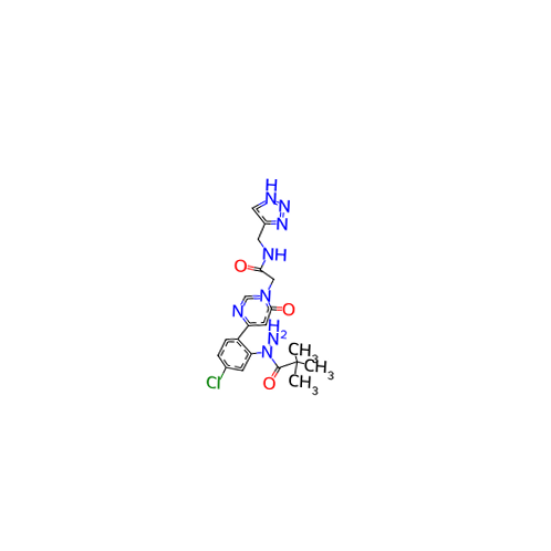 CC(C)(C)C(=O)N(N)c1cc(Cl)ccc1-c1cc(=O)n(CC(=O)NCc2c[nH]nn2)cn1